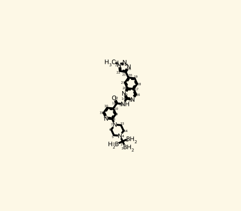 BC(B)(B)N1CCN(c2cc(C(=O)Nc3ncc4ccc(-c5cn(C)nn5)cc4n3)ccn2)CC1